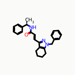 C[C@@H](NC(=O)/C=C/c1nn(Cc2ccccc2)c2c1CCCC2)c1ccccc1